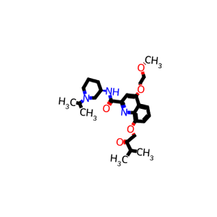 COCCOc1cc(C(=O)N[C@@H]2CCCN(C(C)C)C2)nc2c(OCC(=O)C(C)C)cccc12